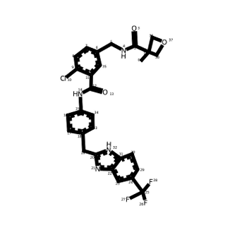 CC1(C(=O)NCc2ccc(Cl)c(C(=O)Nc3ccc(Cc4nc5cc(C(F)(F)F)ccc5[nH]4)cc3)c2)COC1